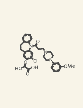 COc1cccc(N2CCN(CCC(=O)N3c4ccccc4CCc4ccc(Cl)cc43)CC2)c1.O=C(O)C(=O)O